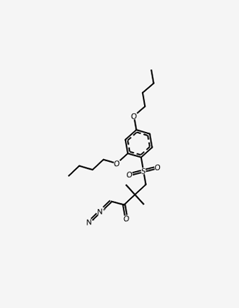 CCCCOc1ccc(S(=O)(=O)CC(C)(C)C(=O)C=[N+]=[N-])c(OCCCC)c1